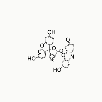 O=C1OC2(c3ccc(O)cc3Oc3cc(O)ccc32)c2ccccc21.O=c1ccc2nc3ccc(O)cc3oc-2c1